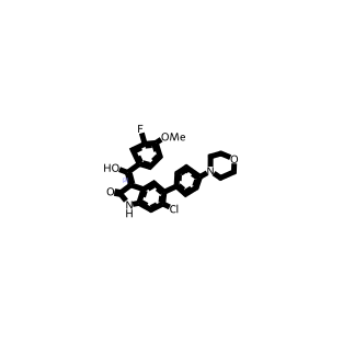 COc1ccc(/C(O)=C2/C(=O)Nc3cc(Cl)c(-c4ccc(N5CCOCC5)cc4)cc32)cc1F